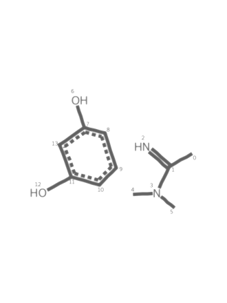 CC(=N)N(C)C.Oc1cccc(O)c1